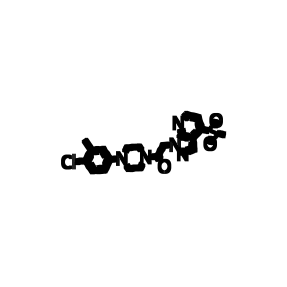 Cc1cc(N2CCN(C(=O)Cn3ncc4c(S(C)(=O)=O)ccnc43)CC2)ccc1Cl